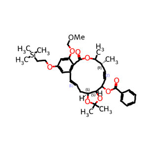 COCOc1cc(OCC[Si](C)(C)C)cc2c1C(=O)OC(C)[C@H](C)/C=C\C(OC(=O)c1ccccc1)[C@H]1OC(C)(C)O[C@H]1C/C=C/2